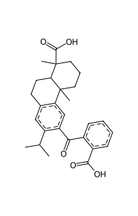 CC(C)c1cc2c(cc1C(=O)c1ccccc1C(=O)O)C1(C)CCCC(C)(C(=O)O)C1CC2